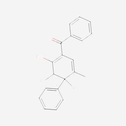 CCCC1C(O)=C(C(=O)c2ccccc2)C=C(C)C1(CCC)c1ccccc1